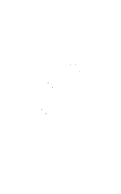 O=C(O)CN1CCN(I)CC1